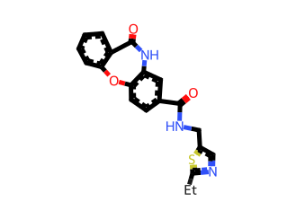 CCc1ncc(CNC(=O)c2ccc3c(c2)NC(=O)c2ccccc2O3)s1